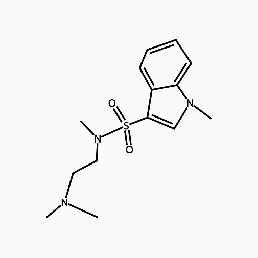 CN(C)CCN(C)S(=O)(=O)c1cn(C)c2ccccc12